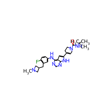 CN1CC(Cc2cc(Nc3ncnc4[nH]c(C5=CCN(C(=O)NC(C)(C)C)CC5)cc34)ccc2F)C1